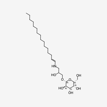 CCCCCCCCCCCCCCC=CNCC(O)CO[C@@H]1O[C@H](CO)[C@H](O)[C@H](O)[C@H]1O